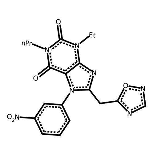 CCCn1c(=O)c2c(nc(Cc3ncno3)n2-c2cccc([N+](=O)[O-])c2)n(CC)c1=O